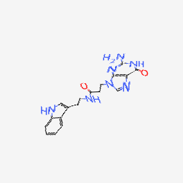 Nc1nc2c(ncn2CCC(=O)NCCc2c[nH]c3ccccc23)c(=O)[nH]1